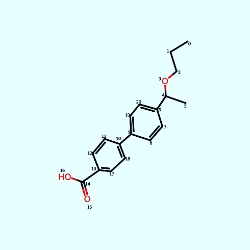 CCCOC(C)c1ccc(-c2ccc(C(=O)O)cc2)cc1